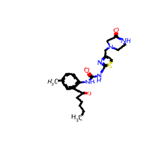 CCCCCC(=O)c1cc(C)ccc1NC(=O)Nc1nc(CN2CCNC(=O)C2)cs1